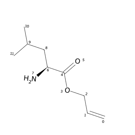 C=CCOC(=O)[C@@H](N)CC(C)C